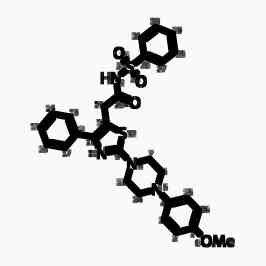 COc1ccc(N2CCN(c3nc(-c4ccccc4)c(CC(=O)NS(=O)(=O)c4ccccc4)s3)CC2)cc1